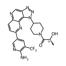 C[C@H](O)C(=O)N1CCC(n2nnc3cnc4ccc(-c5cnc(N)c(C(F)(F)F)c5)nc4c32)CC1